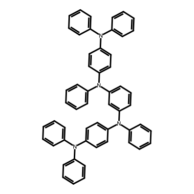 c1ccc(N(c2ccccc2)c2ccc(N(c3ccccc3)c3cccc(N(c4ccccc4)c4ccc(N(c5ccccc5)c5ccccc5)cc4)c3)cc2)cc1